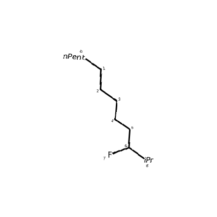 CCCCCCCCCCC(F)C(C)C